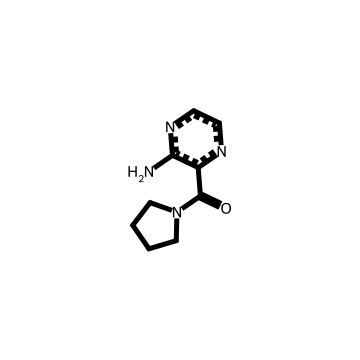 Nc1nccnc1C(=O)N1CCCC1